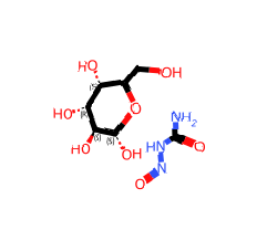 NC(=O)NN=O.OCC1O[C@H](O)[C@@H](O)[C@H](O)[C@@H]1O